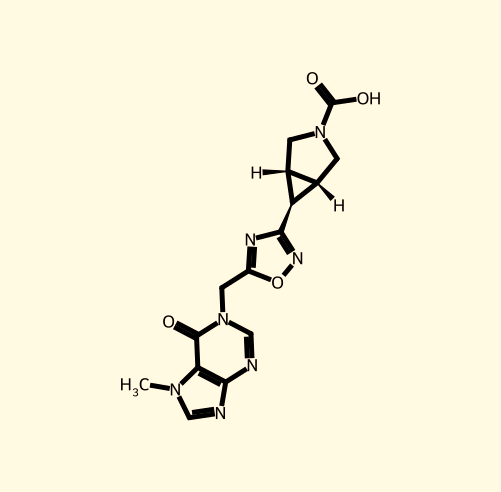 Cn1cnc2ncn(Cc3nc([C@H]4[C@@H]5CN(C(=O)O)C[C@@H]54)no3)c(=O)c21